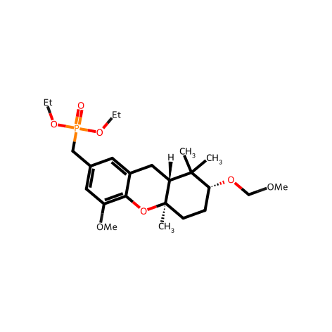 CCOP(=O)(Cc1cc2c(c(OC)c1)O[C@]1(C)CC[C@@H](OCOC)C(C)(C)[C@H]1C2)OCC